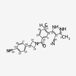 CC(=N)/C(C#N)=C(\N)c1cc(C(=O)N2CC(c3ccc(C#N)cc3)C2)ccc1C